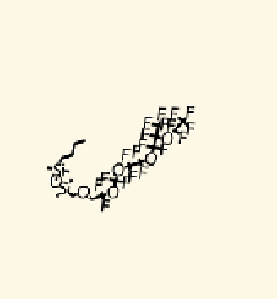 CCCC[Si](C)(C)O[Si](C)(C)COCC(F)(F)OC(F)(F)OC(F)(F)C(F)(F)OC(F)(F)C(F)(OC(F)(F)C(F)(F)F)C(F)(F)F